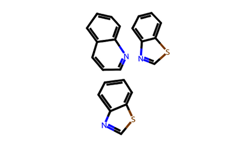 c1ccc2ncccc2c1.c1ccc2scnc2c1.c1ccc2scnc2c1